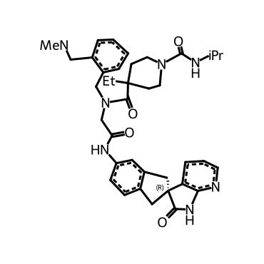 CCC1(C(=O)N(CC(=O)Nc2ccc3c(c2)C[C@@]2(C3)C(=O)Nc3ncccc32)Cc2ccccc2CNC)CCN(C(=O)NC(C)C)CC1